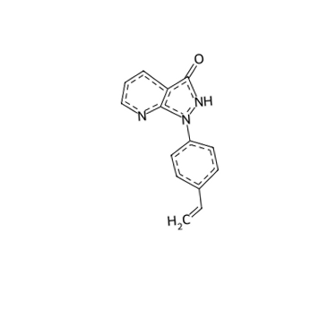 C=Cc1ccc(-n2[nH]c(=O)c3cccnc32)cc1